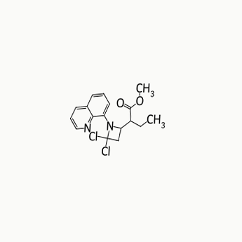 CCC(C(=O)OC)C1CC(Cl)(Cl)N1c1cccc2cccnc12